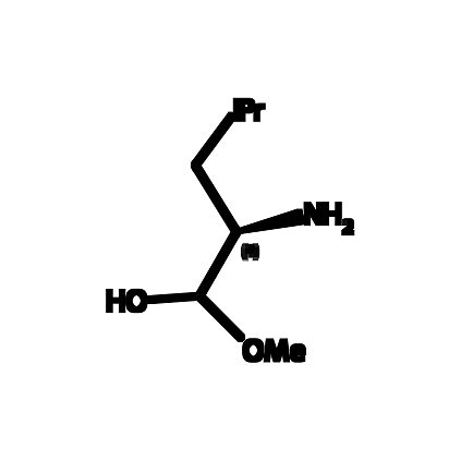 COC(O)[C@H](N)CC(C)C